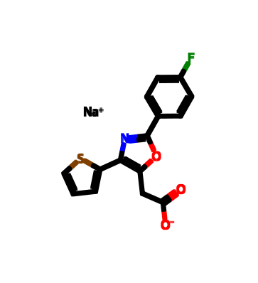 O=C([O-])Cc1oc(-c2ccc(F)cc2)nc1-c1cccs1.[Na+]